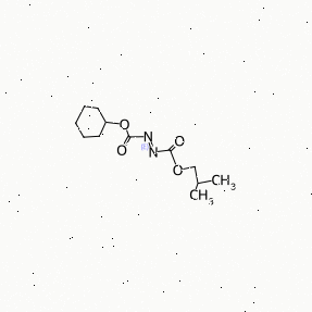 CC(C)COC(=O)/N=N/C(=O)OC1CCCCC1